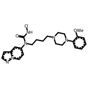 COc1ccccc1N1CCN(CCCCN(C(=O)NCl)c2ccn3nccc3c2)CC1